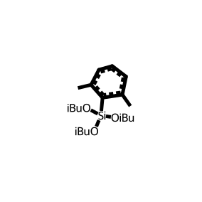 Cc1cccc(C)c1[Si](OCC(C)C)(OCC(C)C)OCC(C)C